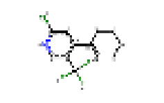 FC(F)(F)c1cnc(Cl)cc1C1=CCCCC1